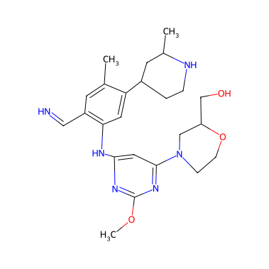 COc1nc(Nc2cc(C3CCNC(C)C3)c(C)cc2C=N)cc(N2CCOC(CO)C2)n1